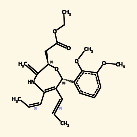 C=C1NC(/C=C\C)=C(/C=C/C)[C@@H](c2cccc(OC)c2OC)O[C@@H]1CC(=O)OCC